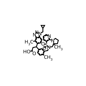 Cc1ccc(C(CC(=O)O)c2ccc3c(nnn3CC3CC3)c2C)cc1CN1C[C@@]2(C)CCCN2c2ncccc2S1(=O)=O